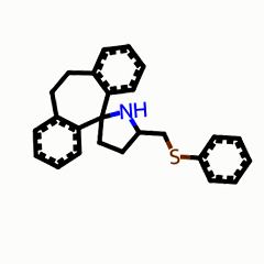 c1ccc(SCC2CCC3(N2)c2ccccc2CCc2ccccc23)cc1